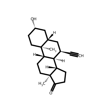 C#C[C@@H]1C[C@H]2C[C@@H](O)CC[C@]2(C)[C@H]2CC[C@]3(C)C(=O)CC[C@H]3[C@H]12